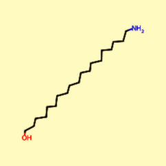 NCCCCCCCCCCCCCCCCCCCO